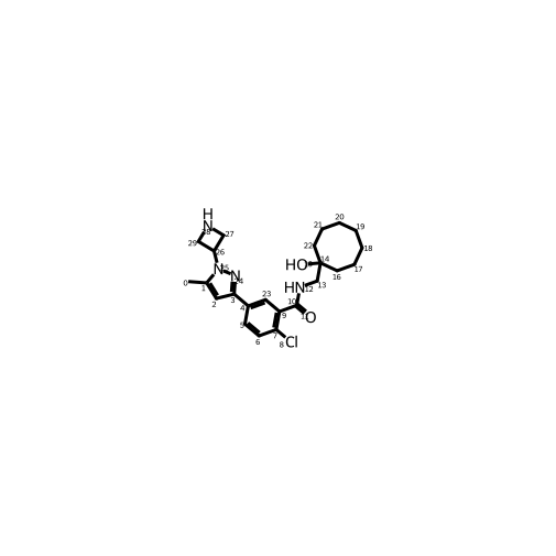 Cc1cc(-c2ccc(Cl)c(C(=O)NCC3(O)CCCCCCC3)c2)nn1C1CNC1